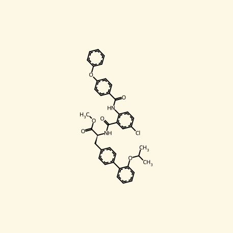 COC(=O)[C@H](Cc1ccc(-c2ccccc2OC(C)C)cc1)NC(=O)c1cc(Cl)ccc1NC(=O)c1ccc(Oc2ccccc2)cc1